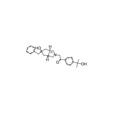 CC(C)(O)c1ccc(C(=O)CN2C[C@@H]3C[C@](O)(Cc4ccccc4)C[C@@H]3C2)cc1